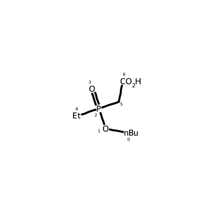 CCCCOP(=O)(CC)CC(=O)O